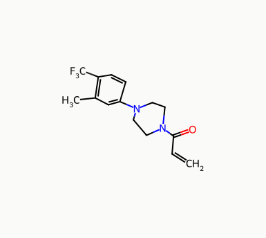 C=CC(=O)N1CCN(c2ccc(C(F)(F)F)c(C)c2)CC1